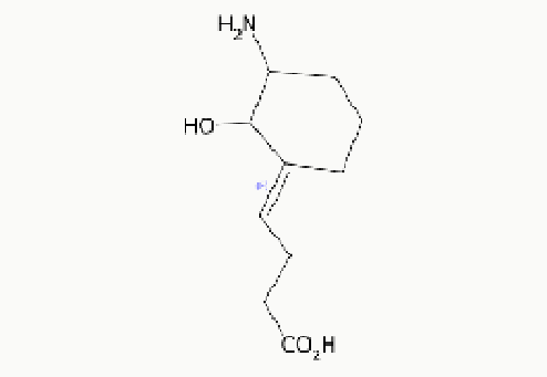 NC1CCC/C(=C\CCC(=O)O)C1O